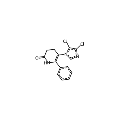 O=C1CCC(n2cnc(Cl)c2Cl)=C(c2ccccc2)N1